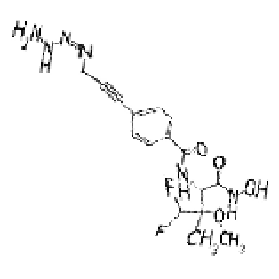 COC(C)(C(F)F)[C@H](NC(=O)c1ccc(C#CC/N=N\NN)cc1)C(=O)NO